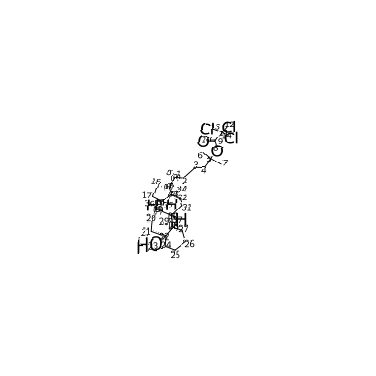 C[C@H](CCCC(C)(C)OC(=O)C(Cl)(Cl)Cl)[C@H]1CC[C@H]2[C@@H]3CCC4(O)CCCC[C@]4(C)[C@H]3CC[C@]12C